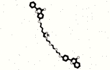 O=c1cc(-c2ccc(OCCOCCOCCn3cc(CCCCOc4ccc5c(=O)cc(-c6ccccc6)oc5c4)nn3)cc2)oc2ccccc12